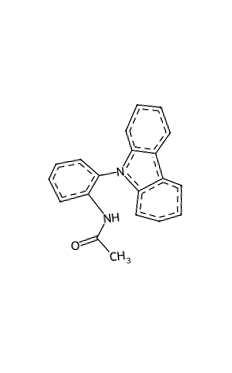 CC(=O)Nc1ccccc1-n1c2ccccc2c2ccccc21